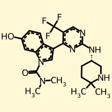 CN(C)C(=O)n1cc(-c2nc(N[C@H]3CCC(C)(C)NC3)ncc2C(F)(F)F)c2ccc(O)cc21